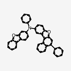 c1ccc(-c2cc3oc4ccc(N(c5ccccc5)c5ccc6c(c5)oc5ccccc56)cc4c3c3ccccc23)cc1